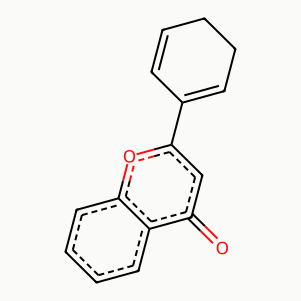 O=c1cc(C2=CCCC=C2)oc2ccccc12